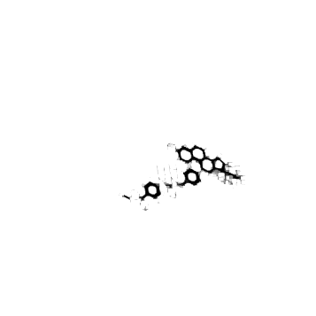 CCOC(=O)c1ccc(NC(=O)NCc2ccc([C@H]3C[C@@]4(C)C(CC[C@@]4(O)C(F)(F)C(F)(F)F)C4CCC5=CC(=O)CCC5=C43)cc2)cc1